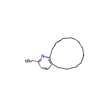 CC(C)(C)c1ccc2c(n1)CCCCCCCCCCC2